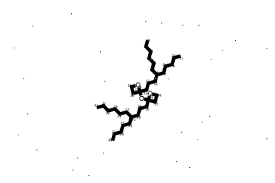 CCCCCCC(CCCCC)CCCC1(OC2(CCCC(CCCCC)CCCCCC)CCO2)CCO1